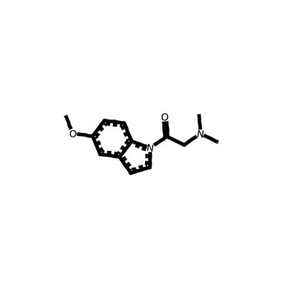 COc1ccc2c(ccn2C(=O)CN(C)C)c1